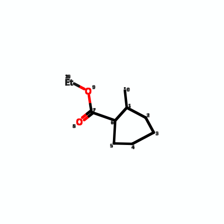 [CH2]C1CCCCC1C(=O)OCC